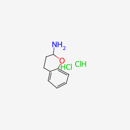 Cl.Cl.NC1CCc2ccccc2O1